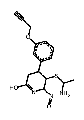 C#CCOc1cccc(C2CC(O)=NC(N=O)C2SC(C)N)c1